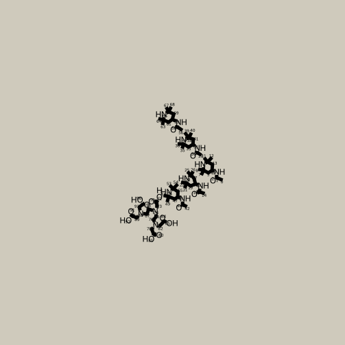 CC(=O)NC1CC(C)(C)NC(C)(C)C1.CC(=O)NC1CC(C)(C)NC(C)(C)C1.CC(=O)NC1CC(C)(C)NC(C)(C)C1.CC(=O)NC1CC(C)(C)NC(C)(C)C1.CC(=O)NC1CC(C)(C)NC(C)(C)C1.O=C(O)CN(CCN(CC(=O)O)CC(=O)O)CCN(CC(=O)O)CC(=O)O